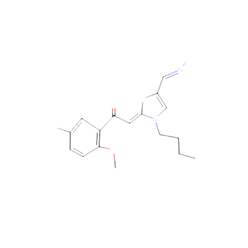 CCCCN1C=C(/C=N/O)S/C1=C\C(=O)c1cc(Cl)ccc1OC